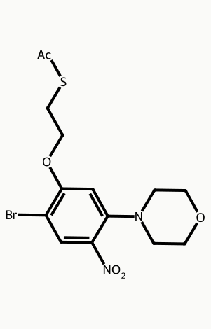 CC(=O)SCCOc1cc(N2CCOCC2)c([N+](=O)[O-])cc1Br